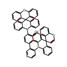 N#Cc1cc(-c2cnccc2N2c3ccccc3C3(c4ccccc4Oc4ccccc43)c3ccccc32)ccc1N1c2ccccc2C2(c3ccccc3Oc3ccccc32)c2ccccc21